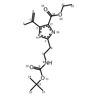 C=C(C)c1sc(CCNC(=O)OC(C)(C)C)nc1C(=O)OCC